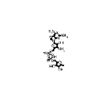 CC1OC(COP(=O)(O)OP(=O)(O)OCC2OC(n3cnc4c(N)nc(N)nc43)C(O)C2N)C(O)C1O